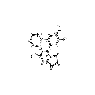 Fc1ccc(-c2ncccc2-c2cn3ccnc3cc2Cl)cc1Cl